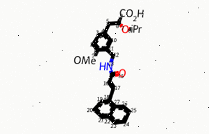 COc1ccc(CC(OC(C)C)C(=O)O)cc1CNC(=O)C=Cc1cccc2ccccc12